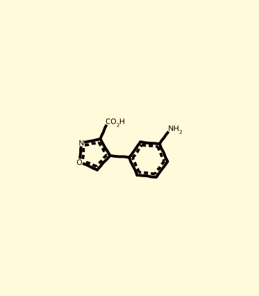 Nc1cccc(-c2conc2C(=O)O)c1